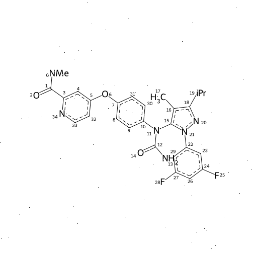 CNC(=O)c1cc(Oc2ccc(N(C(N)=O)c3c(C)c(C(C)C)nn3-c3cc(F)cc(F)c3)cc2)ccn1